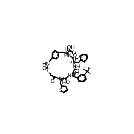 O=C1CCC(=O)N[C@H](CC2CC=CS2)C(=O)N[C@@H](Cc2cccc(C(F)(F)F)c2)C(=O)N[C@H](Cc2ccccc2)C(=O)N[C@H](C(=O)O)Cc2ccc(cc2)N1